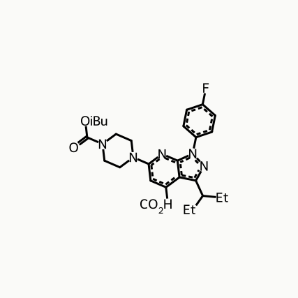 CCC(CC)c1nn(-c2ccc(F)cc2)c2nc(N3CCN(C(=O)OCC(C)C)CC3)cc(C(=O)O)c12